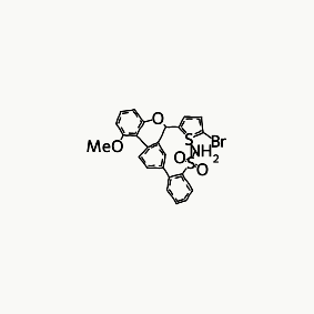 COc1cccc2c1-c1ccc(-c3ccccc3S(N)(=O)=O)cc1C(c1ccc(Br)s1)O2